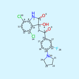 O=C(CC1(O)C(=O)Nc2c(Cl)ccc(Cl)c21)c1ccc(N2CCCC2)c(F)c1